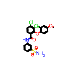 COc1ccc(Oc2cc(Cl)ccc2C(=O)Nc2cccc(S(N)(=O)=O)c2)c(Cl)c1